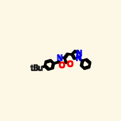 CC(C)(C)c1ccc(C2=NC(=Cc3cnn(-c4ccccc4)c3)C(=O)O2)cc1